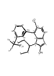 CCC(CC)n1c(O)nc2ncc(Cl)c(-c3ccnc(C(F)(F)F)c3)c21